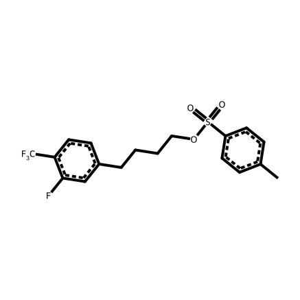 Cc1ccc(S(=O)(=O)OCCCCc2ccc(C(F)(F)F)c(F)c2)cc1